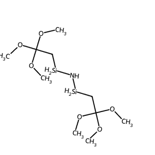 COC(C[SiH2]N[SiH2]CC(OC)(OC)OC)(OC)OC